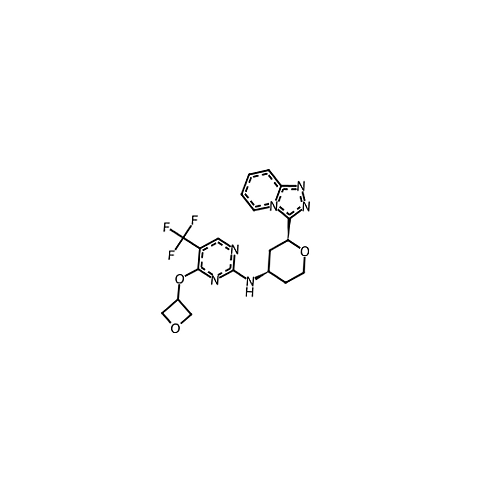 FC(F)(F)c1cnc(N[C@@H]2CCO[C@H](c3nnc4ccccn34)C2)nc1OC1COC1